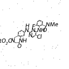 CCOC(=O)N1CC(=O)Nc2cc(Nc3ncc(Cl)c(Nc4c(F)cccc4C(=O)NC)n3)ccc2C1